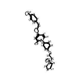 O=c1cc(OCc2ccc(Cl)cn2)ccn1-c1ccc(OCC[N+]2([O-])CCCC2)cc1